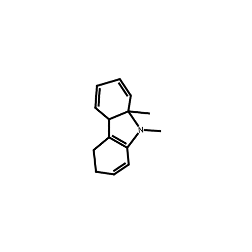 CN1C2=C(CCC=C2)C2C=CC=CC21C